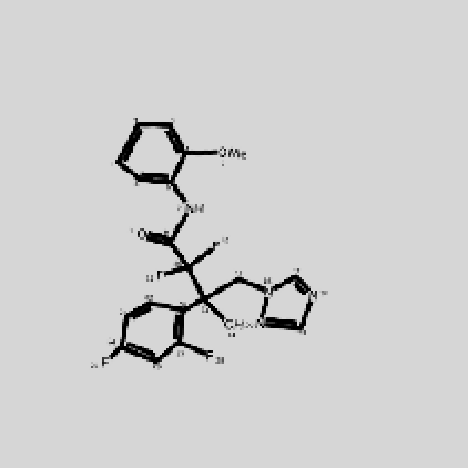 COc1ccccc1NC(=O)C(F)(F)C(O)(Cn1cncn1)c1ccc(F)cc1F